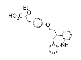 CCOC(Cc1ccc(OCCC2Cc3ccccc3Nc3ccccc32)cc1)C(=O)O